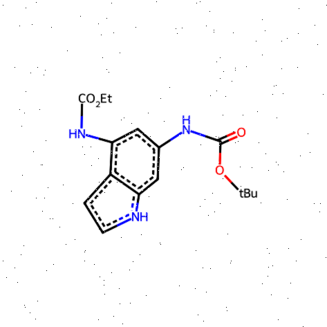 CCOC(=O)Nc1cc(NC(=O)OC(C)(C)C)cc2[nH]ccc12